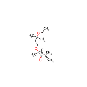 C=C(C)C(=O)C(C)(C)OCCC(C)(C)OCC